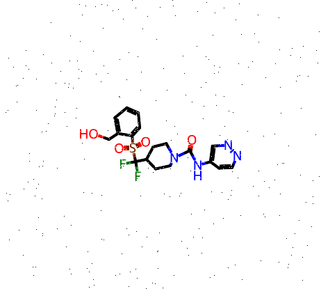 O=C(Nc1ccnnc1)N1CCC(C(F)(F)S(=O)(=O)c2ccccc2CO)CC1